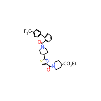 CCOC(=O)C1CCN(C(=O)c2csc(C3CCN(C(=O)c4ccccc4-c4ccc(C(F)(F)F)cc4)CC3)n2)CC1